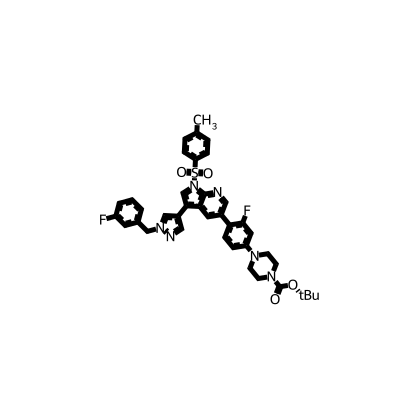 Cc1ccc(S(=O)(=O)n2cc(-c3cnn(Cc4cccc(F)c4)c3)c3cc(-c4ccc(N5CCN(C(=O)OC(C)(C)C)CC5)cc4F)cnc32)cc1